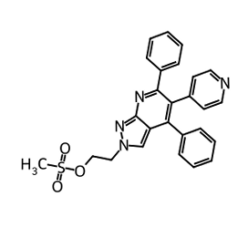 CS(=O)(=O)OCCn1cc2c(-c3ccccc3)c(-c3ccncc3)c(-c3ccccc3)nc2n1